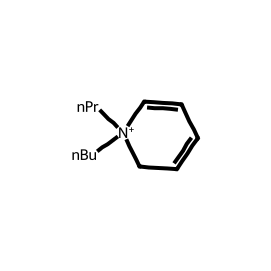 CCCC[N+]1(CCC)C=CC=CC1